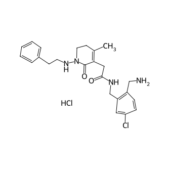 CC1=C(CC(=O)NCc2cc(Cl)ccc2CN)C(=O)N(NCCc2ccccc2)CC1.Cl